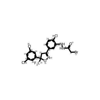 O=C(CBr)NNc1cc(C2=NOC(c3cc(Cl)cc(Cl)c3)(C(F)(F)F)C2)ccc1Cl